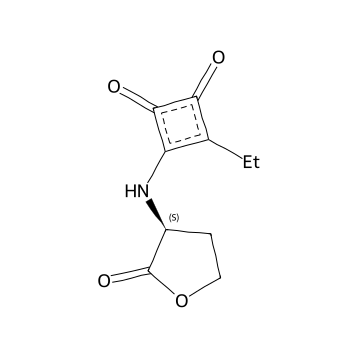 CCc1c(N[C@H]2CCOC2=O)c(=O)c1=O